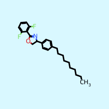 CCCCCCCCCCc1ccc(C2COC(c3c(F)cccc3F)=N2)cc1